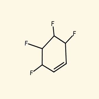 FC1C=CC(F)C(F)C1F